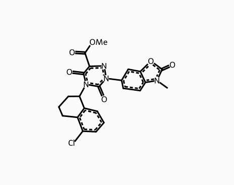 COC(=O)c1nn(-c2ccc3c(c2)oc(=O)n3C)c(=O)n(C2CCCc3c(Cl)cccc32)c1=O